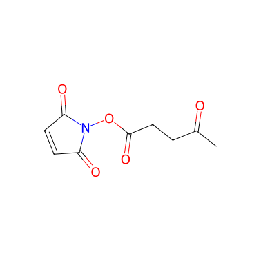 CC(=O)CCC(=O)ON1C(=O)C=CC1=O